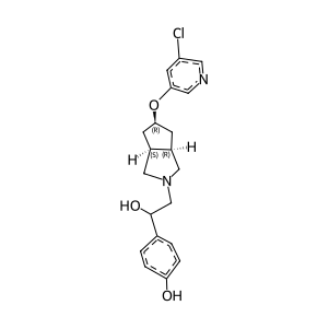 Oc1ccc(C(O)CN2C[C@H]3C[C@@H](Oc4cncc(Cl)c4)C[C@H]3C2)cc1